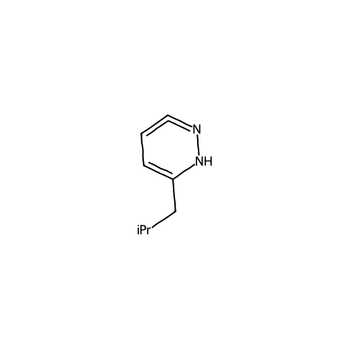 CC(C)CC1=CC=C=NN1